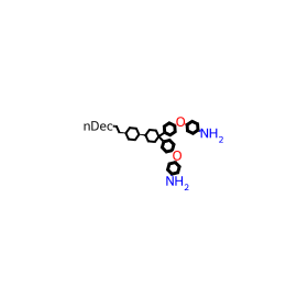 CCCCCCCCCCCC[C@H]1CC[C@@H](C2CCC(c3ccc(Oc4ccc(N)cc4)cc3)(c3ccc(Oc4ccc(N)cc4)cc3)CC2)CC1